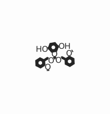 COc1ccccc1COC(=O)OCc1ccccc1OC.Oc1ccc(O)cc1